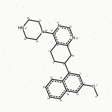 COc1cc(C2CCc3c(ncnc3N3CCNCC3)C2)c2ccccc2c1